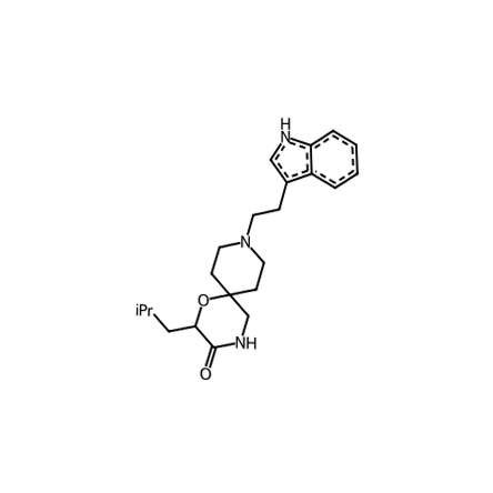 CC(C)CC1OC2(CCN(CCc3c[nH]c4ccccc34)CC2)CNC1=O